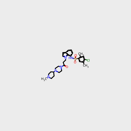 Cc1cc(S(=O)(=O)Nc2cccc3ccn(CCC(=O)N4CCN(C5CCN(C)CC5)CC4)c23)c(C)cc1Cl